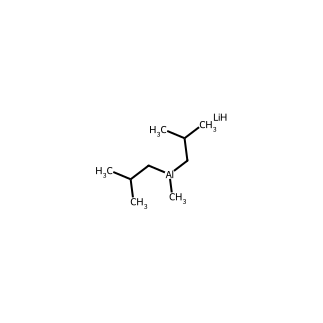 CC(C)[CH2][Al]([CH3])[CH2]C(C)C.[LiH]